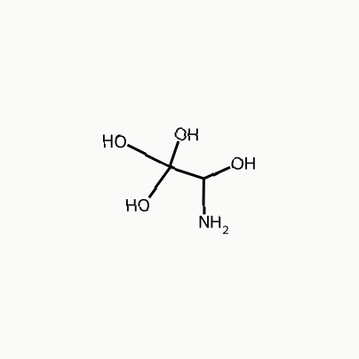 NC(O)C(O)(O)O